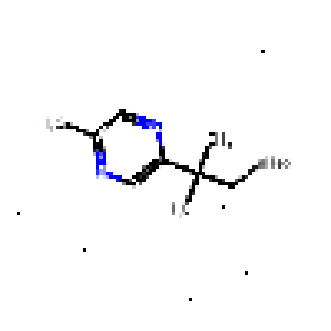 CCCCCCCC(C)(C)c1cnc(C)cn1